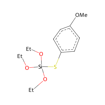 CCO[Si](OCC)(OCC)Sc1ccc(OC)cc1